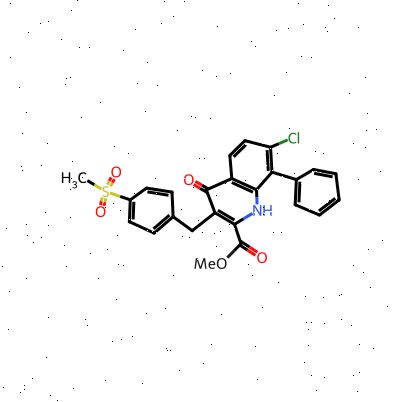 COC(=O)c1[nH]c2c(-c3ccccc3)c(Cl)ccc2c(=O)c1Cc1ccc(S(C)(=O)=O)cc1